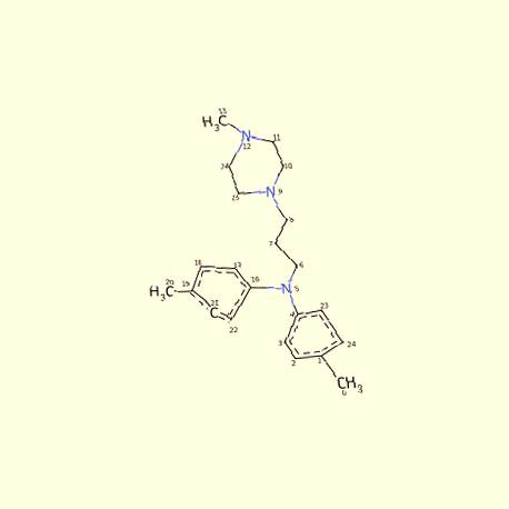 Cc1ccc(N(CCCN2CCN(C)CC2)c2ccc(C)cc2)cc1